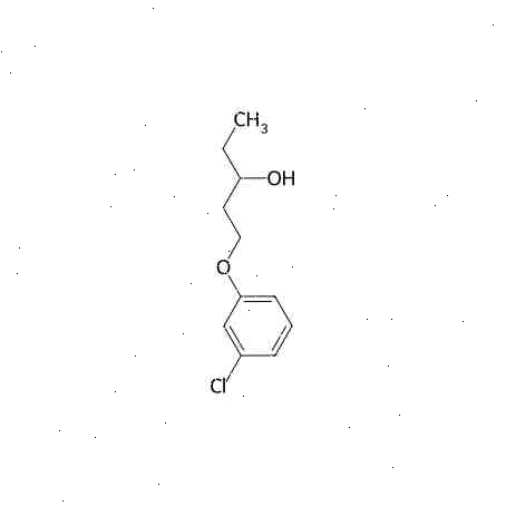 CCC(O)CCOc1cccc(Cl)c1